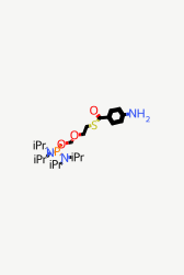 CC(C)N(C(C)C)P(OCOCCSC(=O)c1ccc(N)cc1)N(C(C)C)C(C)C